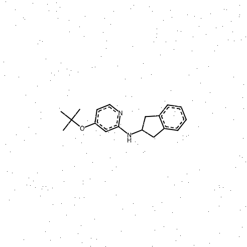 CC(C)(C)Oc1ccnc(NC2Cc3ccccc3C2)c1